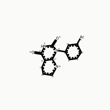 CC(=O)c1cccc(-n2c(=O)[nH]c(=O)c3cccnc32)c1